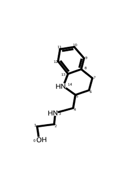 OCCNCC1CCc2ccccc2N1